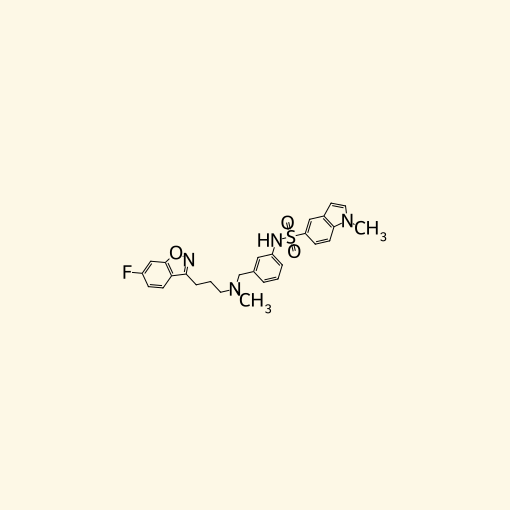 CN(CCCc1noc2cc(F)ccc12)Cc1cccc(NS(=O)(=O)c2ccc3c(ccn3C)c2)c1